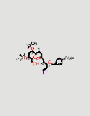 COc1ccc(CO[C@H](/C=C/I)[C@@H](C)CC(=O)C[C@H](C)[C@@H]2O[C@H](CO)[C@H](O[Si](C)(C)C(C)(C)C)C[C@@H]2O[Si](C)(C)C(C)(C)C)cc1